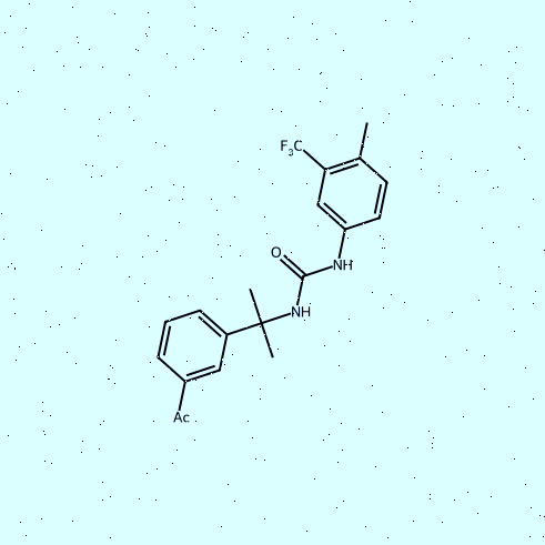 CC(=O)c1cccc(C(C)(C)NC(=O)Nc2ccc(C)c(C(F)(F)F)c2)c1